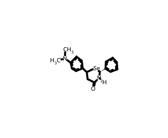 [2H]N1C(=O)CC(c2ccc(N(C)C)cc2)[Se][C@@H]1c1ccccc1